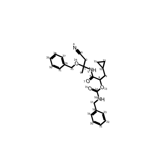 CC(CC#N)(NC(=O)C(CC1CC1)OC(=O)NCc1ccccc1)OCc1ccccc1